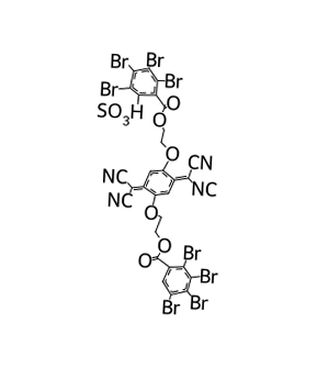 [C-]#[N+]/C(C#N)=c1/cc(OCCOC(=O)c2c(Br)c(Br)c(Br)c(Br)c2S(=O)(=O)O)/c(=C(\C#N)[N+]#[C-])cc1OCCOC(=O)c1cc(Br)c(Br)c(Br)c1Br